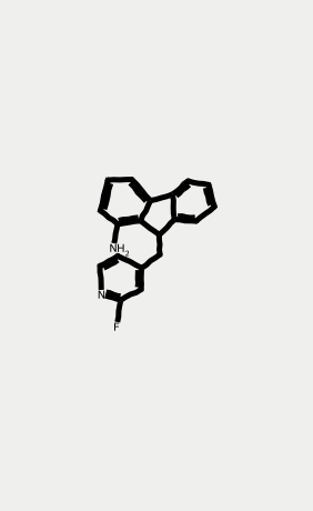 Nc1cccc2c1C(Cc1ccnc(F)c1)c1ccccc1-2